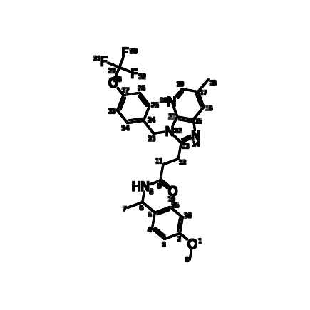 COc1ccc(C(C)NC(=O)CCc2nc3cc(C)cnc3n2Cc2ccc(OC(F)(F)F)cc2)cc1